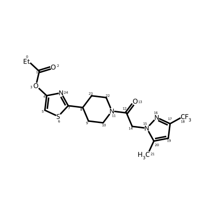 CCC(=O)Oc1csc(C2CCN(C(=O)Cn3nc(C(F)(F)F)cc3C)CC2)n1